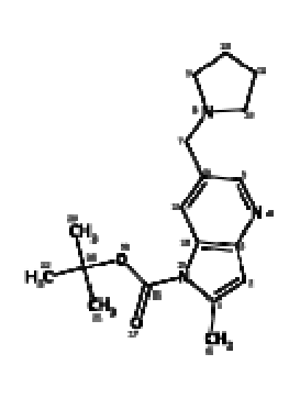 Cc1cc2ncc(CN3CCCC3)cc2n1C(=O)OC(C)(C)C